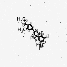 COC(=O)c1ccc(C2=NOC(c3cc(C(F)(F)F)cc(Cl)c3F)(C(F)F)C2)cc1C